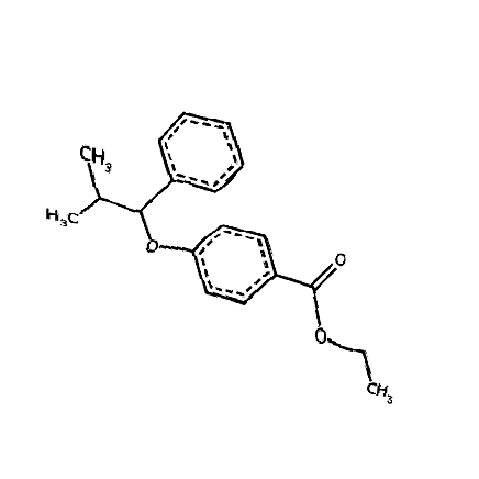 CCOC(=O)c1ccc(OC(c2ccccc2)C(C)C)cc1